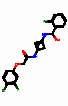 O=C(COc1ccc(Cl)c(F)c1)NC12CC(NC(O)c3ccccc3F)(C1)C2